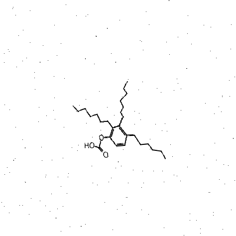 CCCCCCCc1c(CCCCCC)ccc(OC(=O)O)c1CCCCCCC